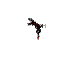 CCCCCCCCCCCOC(=O)CCCCCN1CC(O)C[C@H]1C(=O)OCCCCC(=O)OC(CCCCCCCC)CCCCCCCC